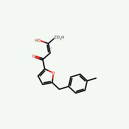 Cc1ccc(Cc2ccc(C(=O)/C=C(\O)C(=O)O)o2)cc1